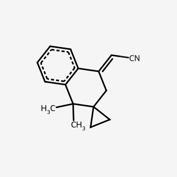 CC1(C)c2ccccc2/C(=C/C#N)CC12CC2